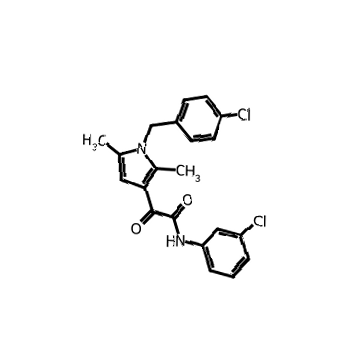 Cc1cc(C(=O)C(=O)Nc2cccc(Cl)c2)c(C)n1Cc1ccc(Cl)cc1